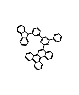 c1ccc(-c2nc(-c3cccc(-n4c5ccccc5c5ccccc54)c3)nc(-c3cc4c5ccccc5c5ccccc5c4c4ccccc34)n2)cc1